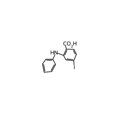 O=C(O)c1ccc(I)cc1Nc1ccccc1